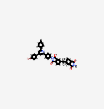 Cc1ccc(-c2cc(-c3ccc(Br)cc3)cc(-c3ccc(N4C(=O)c5ccc(C(c6ccc7c(c6)C(=O)N(C)C7=O)(C(F)(F)F)C(F)(F)F)cc5C4=O)cc3)n2)cc1